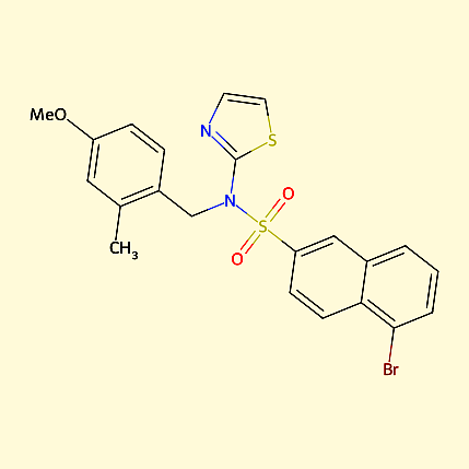 COc1ccc(CN(c2nccs2)S(=O)(=O)c2ccc3c(Br)cccc3c2)c(C)c1